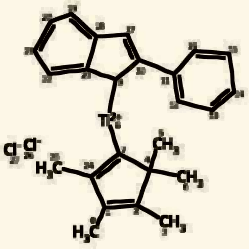 CC1=C(C)C(C)(C)[C]([Ti+2][CH]2C(c3ccccc3)=Cc3ccccc32)=C1C.[Cl-].[Cl-]